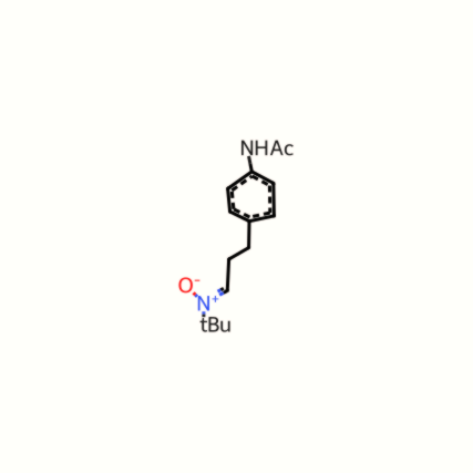 CC(=O)Nc1ccc(CCC=[N+]([O-])C(C)(C)C)cc1